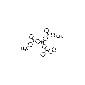 Cc1ccc(N(c2ccccc2)c2ccc(N(c3ccc(N(c4ccccc4)c4ccc(C)cc4)cc3)c3ccc(N(c4ccccc4)c4ccc5ccccc5c4)cc3)cc2)cc1